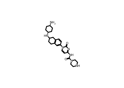 N[C@H]1CC[C@@H](NC2CCc3cc(-n4ccc(NC(=O)N5CCNCC5)nc4=O)ccc3C2)CC1